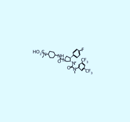 CN(C(=O)N(C)[C@@H]1CN(C(=O)NC2CCC(N(C)C(=O)O)CC2)C[C@H]1c1ccc(F)cc1)c1cc(C(F)(F)F)cc(C(F)(F)F)c1